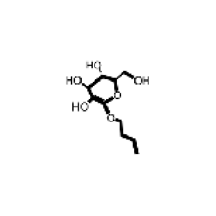 CCCCOC1=C(O)[C@@H](O)[C@H](O)[C@@H](CO)O1